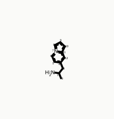 CC(N)Cc1ccn2cccc2c1